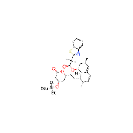 CC[Si](CC)(O[C@H]1CC(=O)O[C@H](CC[C@@H]2[C@@H]3C(=C[C@H](C)C[C@@H]3OC(=O)C(C)(C)c3nc4ccccc4s3)C=C[C@@H]2C)C1)C(C)(C)C